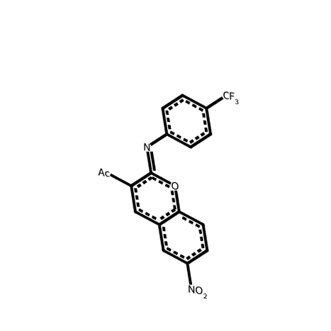 CC(=O)c1cc2cc([N+](=O)[O-])ccc2o/c1=N\c1ccc(C(F)(F)F)cc1